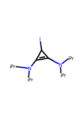 CC(C)N(C1=C(N(C(C)C)C(C)C)C1I)C(C)C